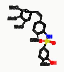 COc1ccc(S(=O)(=O)Nc2cc(/C=C\c3cc(OC)c(OC)c(OC)c3)ccc2OC)cc1O